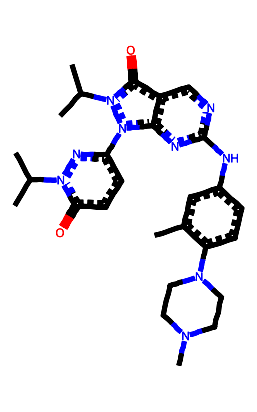 Cc1cc(Nc2ncc3c(=O)n(C(C)C)n(-c4ccc(=O)n(C(C)C)n4)c3n2)ccc1N1CCN(C)CC1